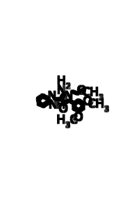 COCCN1C(N)=C(c2nc3ccccc3[nH]2)C(=O)C1c1cc(OC)cc(OC)c1